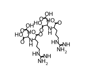 N=C(N)NCCCC(NC(CC(=O)O)C(=O)O)C(=O)O.N=C(N)NCCCC(NC(CC(=O)O)C(=O)O)C(=O)O